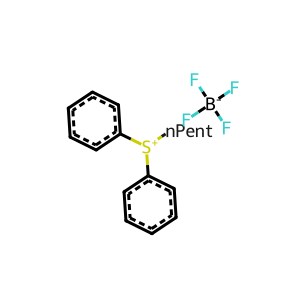 CCCCC[S+](c1ccccc1)c1ccccc1.F[B-](F)(F)F